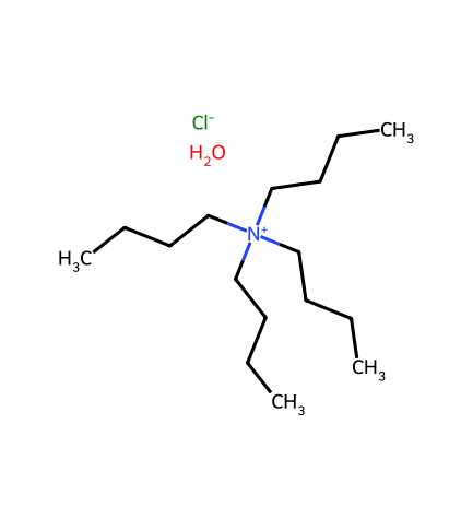 CCCC[N+](CCCC)(CCCC)CCCC.O.[Cl-]